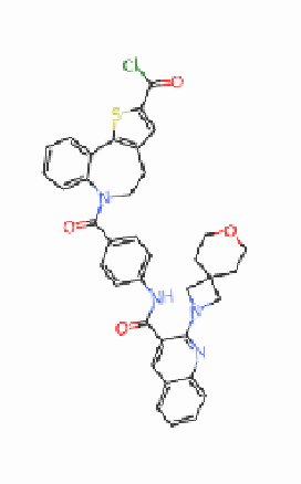 O=C(Cl)c1cc2c(s1)-c1ccccc1N(C(=O)c1ccc(NC(=O)c3cc4ccccc4nc3N3CC4(CCOCC4)C3)cc1)CC2